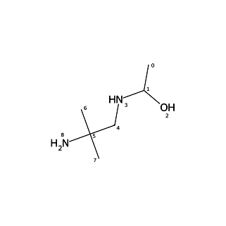 CC(O)NCC(C)(C)N